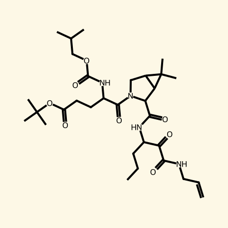 C=CCNC(=O)C(=O)C(CCC)NC(=O)C1C2C(CN1C(=O)C(CCC(=O)OC(C)(C)C)NC(=O)OCC(C)C)C2(C)C